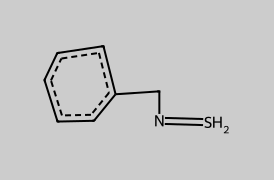 [SH2]=NCc1ccccc1